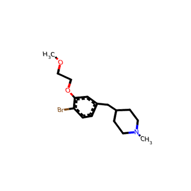 COCCOc1cc(CC2CCN(C)CC2)ccc1Br